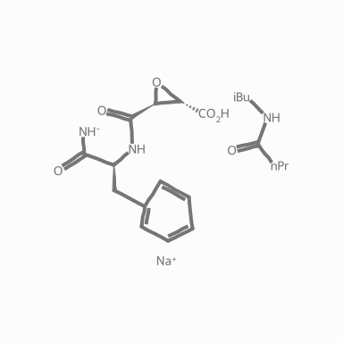 CCCC(=O)NC(C)CC.[NH-]C(=O)[C@H](Cc1ccccc1)NC(=O)[C@H]1O[C@@H]1C(=O)O.[Na+]